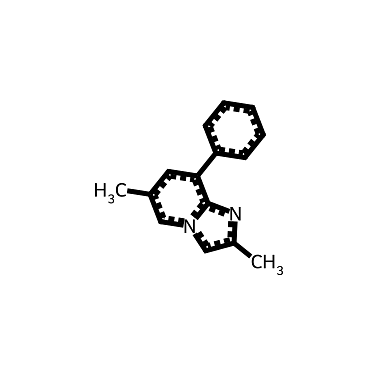 Cc1cc(-c2ccccc2)c2nc(C)cn2c1